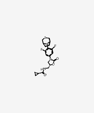 O=C(NC[C@H]1CN(c2cc(F)c(N3C4CCC3CSC4)c(F)c2)C(=O)O1)C1CC1